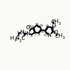 C=C(/N=C\C)N1Cc2cc(-c3cnc(OC)c(OC)c3)ccc2C1=O